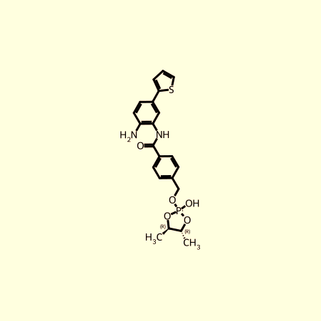 C[C@H]1O[P](O)(OCc2ccc(C(=O)Nc3cc(-c4cccs4)ccc3N)cc2)O[C@@H]1C